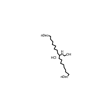 CCCCCCCCCCCCCCCCCCC(CCCCCCCCCCCCCCCCCC)NCO.Cl